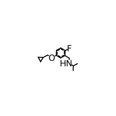 CC(C)NCc1cc(OCC2CC2)ccc1F